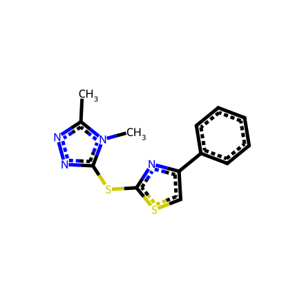 Cc1nnc(Sc2nc(-c3ccccc3)cs2)n1C